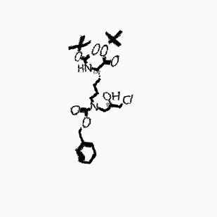 CC(C)(C)OC(=O)N[C@@H](CCCCN(C[C@@H](O)CCl)C(=O)OCc1ccccc1)C(=O)OC(C)(C)C